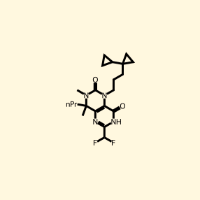 CCCC1(C)c2nc(C(F)F)[nH]c(=O)c2N(CCCC2(C3CC3)CC2)C(=O)N1C